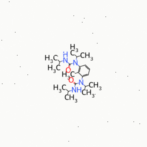 Cc1c(N(C(=O)NC(C)C)C(C)C)cccc1N(C(=O)NC(C)C)C(C)C